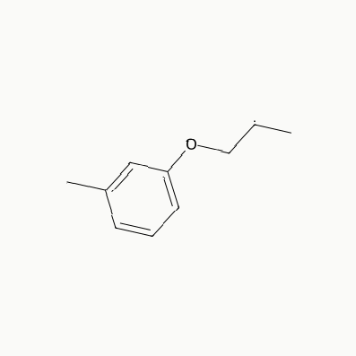 C[CH]COc1cccc(C)c1